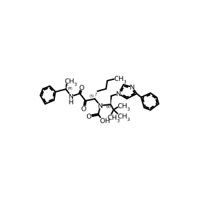 CCCC[C@@H](C(=O)C(=O)N[C@H](C)c1ccccc1)N(C(=O)O)[C@@H](Cn1cnc(-c2ccccc2)c1)C(C)(C)C